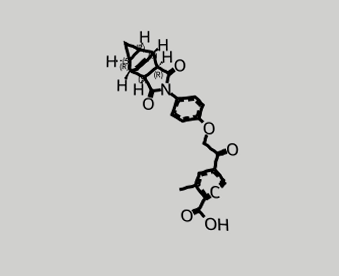 Cc1cc(C(=O)COc2ccc(N3C(=O)[C@@H]4[C@@H]5C=C[C@@H]([C@H]6C[C@@H]56)[C@@H]4C3=O)cc2)ccc1C(=O)O